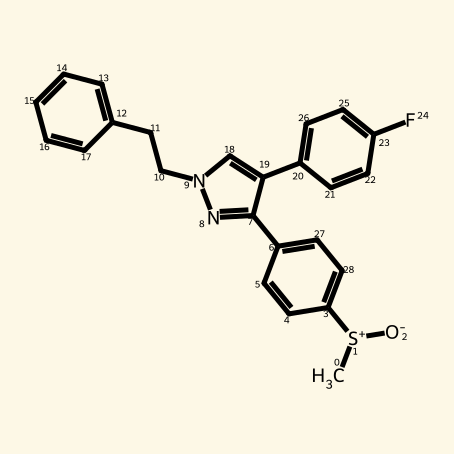 C[S+]([O-])c1ccc(-c2nn(CCc3ccccc3)cc2-c2ccc(F)cc2)cc1